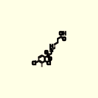 Cc1c(Cl)ccc(S(=O)(=O)CNCCCCC(=O)O)c1Cl